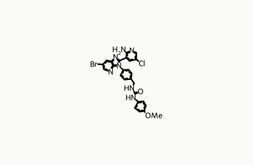 COc1ccc(NC(=O)NCc2ccc(-n3c(-c4cc(Cl)cnc4N)nc4cc(Br)cnc43)cc2)cc1